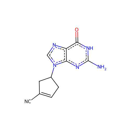 N#CC1=CCC(n2cnc3c(=O)[nH]c(N)nc32)C1